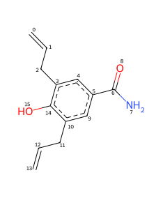 C=CCc1[c]c(C(N)=O)cc(CC=C)c1O